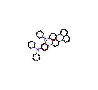 c1ccc(N(c2ccccc2)c2ccc(-c3ccc(-c4cccc5cccc(-c6ccc(N(c7ccccc7)c7ccccc7)cc6)c45)cc3)cc2)cc1